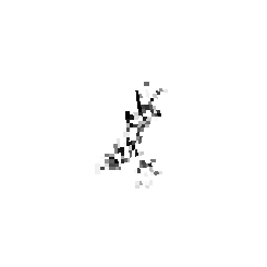 CCNC(=O)Nc1nc2cc(-c3ccc(F)nc3)c(OCC3CCOCC3)nc2s1